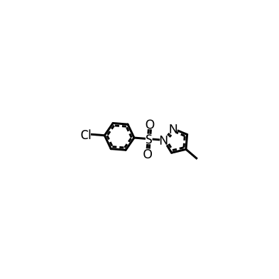 Cc1cnn(S(=O)(=O)c2ccc(Cl)cc2)c1